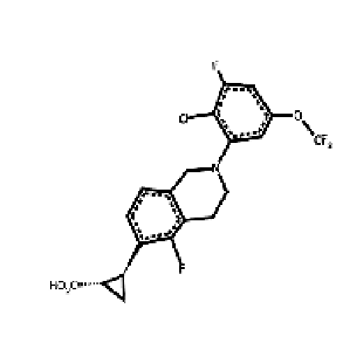 O=C(O)[C@H]1C[C@@H]1c1ccc2c(c1F)CCN(c1cc(OC(F)(F)F)cc(F)c1Cl)C2